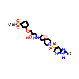 CCc1nc2cc(S(=O)(=O)N3CCC4(CC3)C[C@@H](NCC(O)COc3cccc(S(=O)(=O)NC)c3)CO4)cnc2[nH]1